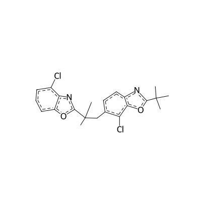 CC(C)(C)c1nc2ccc(CC(C)(C)c3nc4c(Cl)cccc4o3)c(Cl)c2o1